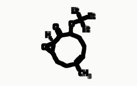 CC[Si](CC)(CC)OC1CCC=C(C)CCC2O[C@H]2C1=O